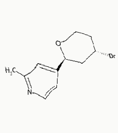 Cc1cc([C@@H]2C[C@@H](Br)CCO2)ccn1